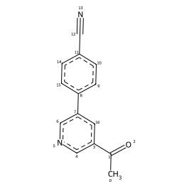 CC(=O)c1cncc(-c2ccc(C#N)cc2)c1